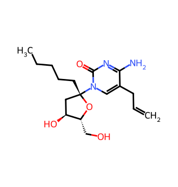 C=CCc1cn([C@@]2(CCCCC)C[C@H](O)[C@@H](CO)O2)c(=O)nc1N